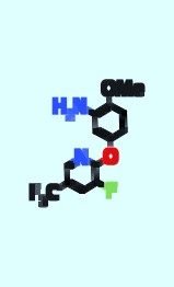 COc1ccc(Oc2ncc(C(F)(F)F)cc2F)cc1N